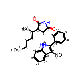 CCCCCCCCCCCCCC(CCCC)C1CC(=O)NC1=O.O=Nc1c(-c2ccccc2)[nH]c2ccccc12